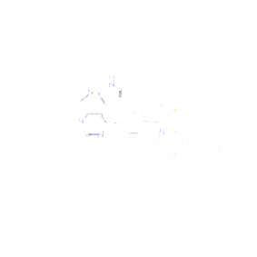 Cc1nc(C2CCC(C(N3CCCC(OCC(C)C)C3)[SH](=O)=O)CC2)c2c(cnc3[nH]ccc32)n1